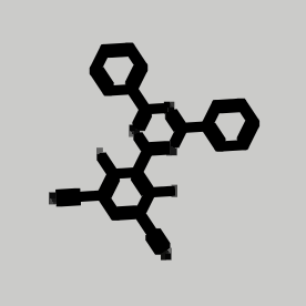 N#Cc1cc(C#N)c(I)c(-c2nc(-c3ccccc3)nc(-c3ccccc3)n2)c1I